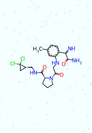 Cc1ccc(C(=N)C(N)=O)c(NCC(=O)N2CCC[C@H]2C(=O)NC[C@H]2CC2(Cl)Cl)c1